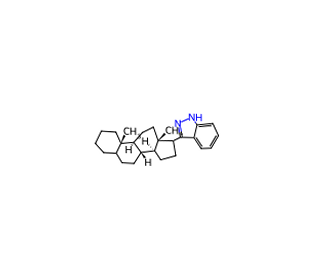 C[C@]12CCCCC1CC[C@@H]1[C@@H]2CC[C@]2(C)C(c3n[nH]c4ccccc34)CC[C@@H]12